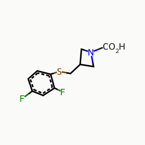 O=C(O)N1CC(CSc2ccc(F)cc2F)C1